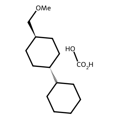 COC[C@H]1CC[C@H](C2CCCCC2)CC1.O=C(O)O